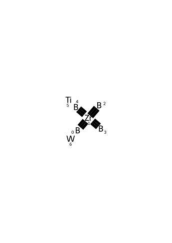 [B]#[Zr](#[B])(#[B])#[B].[Ti].[W]